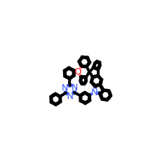 c1ccc(-c2nc(-c3ccccc3)nc(-c3cccc(-n4c5ccccc5c5cc6c(cc54)C4(c5ccccc5Oc5ccccc54)c4ccccc4-6)c3)n2)cc1